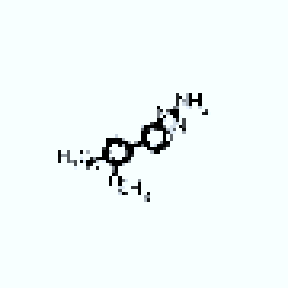 COc1ccc(-c2ccn3nc(N)nc3c2)cc1OC